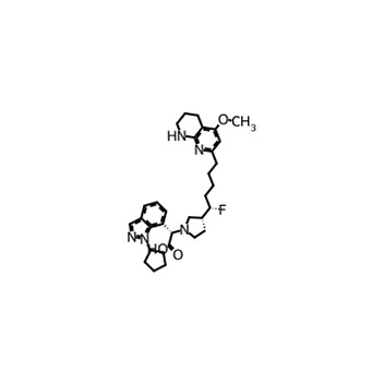 COc1cc(CCCC[C@H](F)[C@@H]2CCN([C@H](C(=O)O)c3cccc4cnn(C5CCCC5)c34)C2)nc2c1CCCN2